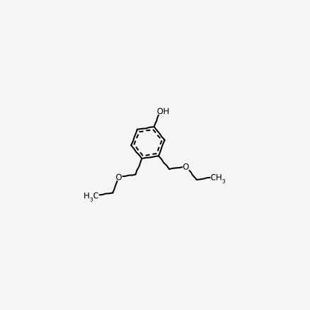 CCOCc1ccc(O)cc1COCC